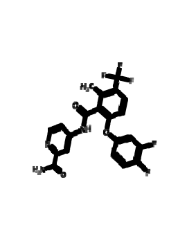 Cc1c(C(F)(F)F)ccc(Oc2ccc(F)c(F)c2)c1C(=O)Nc1ccnc(C(N)=O)c1